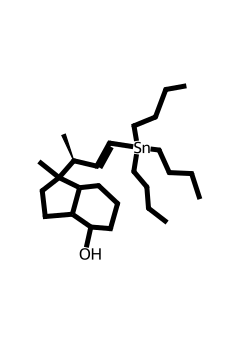 CCC[CH2][Sn]([CH]=C[C@H](C)C1(C)CCC2C(O)CCCC21)([CH2]CCC)[CH2]CCC